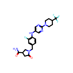 NC(=O)C1CC(=O)N(Cc2ccc(Nc3cnc(N4CCC(C(F)(F)F)CC4)nc3)c(F)c2)C1